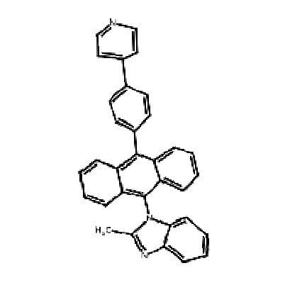 Cc1nc2ccccc2n1-c1c2ccccc2c(-c2ccc(-c3ccncc3)cc2)c2ccccc12